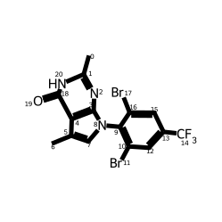 Cc1nc2c(c(C)cn2-c2c(Br)cc(C(F)(F)F)cc2Br)c(=O)[nH]1